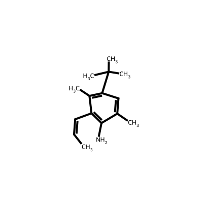 C/C=C\c1c(C)c(C(C)(C)C)cc(C)c1N